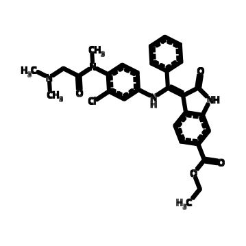 CCOC(=O)c1ccc2c(c1)NC(=O)/C2=C(/Nc1ccc(N(C)C(=O)CN(C)C)c(Cl)c1)c1ccccc1